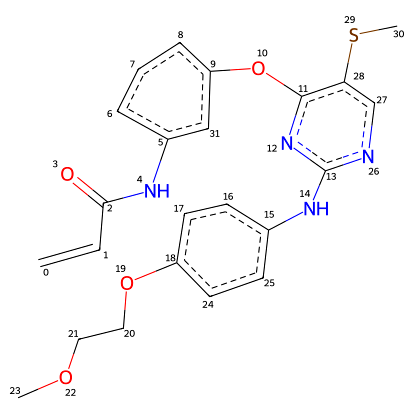 C=CC(=O)Nc1cccc(Oc2nc(Nc3ccc(OCCOC)cc3)ncc2SC)c1